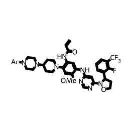 C=CC(=O)Nc1cc(Nc2cc(N3OCCC3c3cccc(C(F)(F)F)c3F)ncn2)c(OC)cc1N1CCC(N2CCN(C(C)=O)CC2)CC1